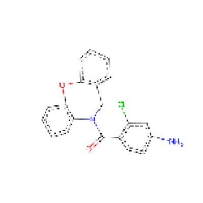 Nc1ccc(C(=O)N2Cc3ccccc3Oc3ccccc32)c(Cl)c1